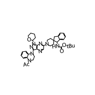 CC(=O)N1CCN(c2nn(C3CCCCO3)c3nc(N4CCC5(CC4)Cc4ccccc4C5NC(=O)OC(C)(C)C)cnc23)c2ccccc21